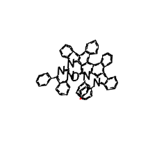 O=c1c2c(c3ccccc3c3c4ccccc4n(-c4nc(-c5ccccc5)c5ccccc5n4)c23)c2c3ccccc3c3c4ccccc4n(-c4ccccc4)c3c2n1-c1ccccc1